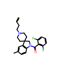 C=CCCN1CCC2(CC1)CN(C(=O)c1c(F)cccc1F)c1ccc(C)cc12